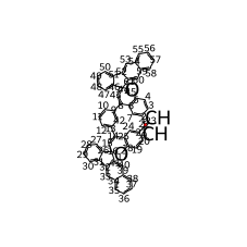 C#Cc1ccc2c(c1)C(c1cccc(C3=CC4(Oc5ccc(C#C)cc53)c3ccccc3-c3cc5ccccc5cc34)c1)=CC1(O2)c2ccccc2-c2cc3ccccc3cc21